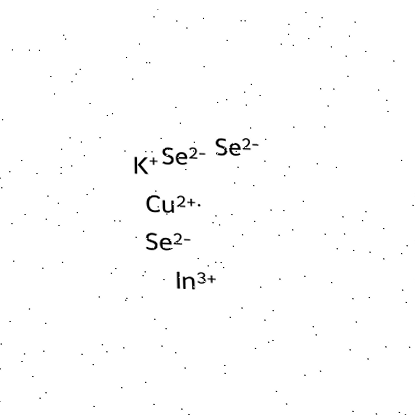 [Cu+2].[In+3].[K+].[Se-2].[Se-2].[Se-2]